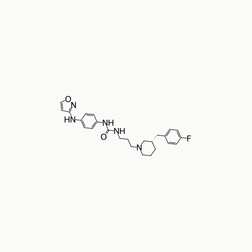 O=C(NCCCN1CCC[C@@H](Cc2ccc(F)cc2)C1)Nc1ccc(Nc2ccon2)cc1